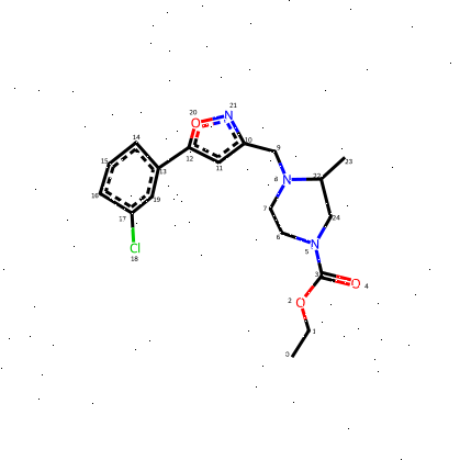 CCOC(=O)N1CCN(Cc2cc(-c3cccc(Cl)c3)on2)C(C)C1